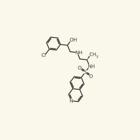 C[C@H](CNCC(O)c1cccc(Cl)c1)NS(=O)(=O)c1ccc2cnccc2c1